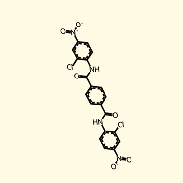 O=C(Nc1ccc([N+](=O)[O-])cc1Cl)c1ccc(C(=O)Nc2ccc([N+](=O)[O-])cc2Cl)cc1